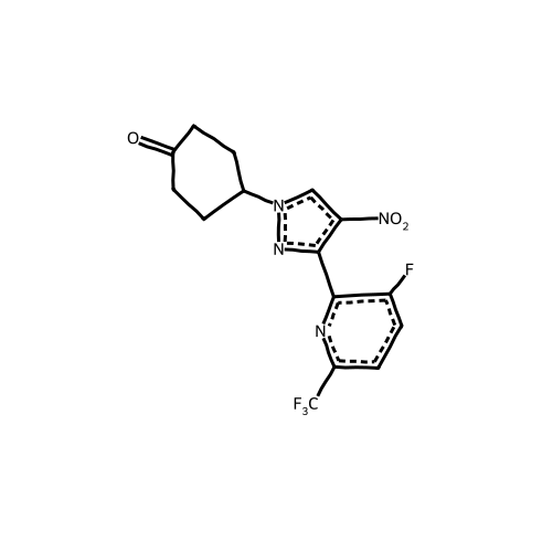 O=C1CCC(n2cc([N+](=O)[O-])c(-c3nc(C(F)(F)F)ccc3F)n2)CC1